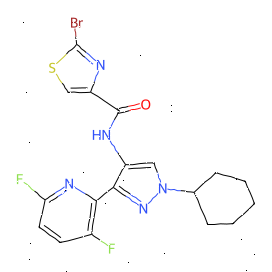 O=C(Nc1cn(C2CCCCC2)nc1-c1nc(F)ccc1F)c1csc(Br)n1